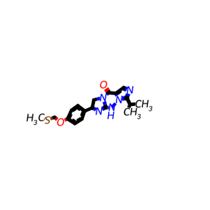 CSCOc1ccc(C2CN3C(=O)c4cnc(C(C)C)n4NC3=N2)cc1